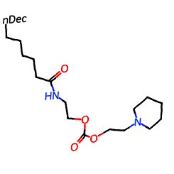 CCCCCCCCCCCCCCCC(=O)NCCOC(=O)OCCN1CCCCC1